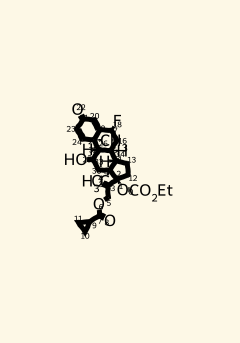 CCOC(=O)O[C@]1(C(=O)COC(=O)C2CC2)CC[C@H]2[C@@H]3C[C@H](F)C4=CC(=O)C=C[C@]4(C)[C@H]3C(O)C[C@@]21C